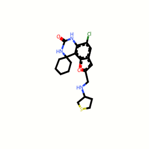 O=C1Nc2c(Cl)cc3cc(CNC4CCSC4)oc3c2C2(CCCCC2)N1